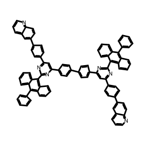 c1ccc(-c2c3ccccc3c(-c3nc(-c4ccc(-c5ccc(-c6cc(-c7ccc(-c8ccc9ncccc9c8)cc7)nc(-c7c8ccccc8c(-c8ccccc8)c8ccccc78)n6)cc5)cc4)cc(-c4ccc(-c5ccc6ncccc6c5)cc4)n3)c3ccccc23)cc1